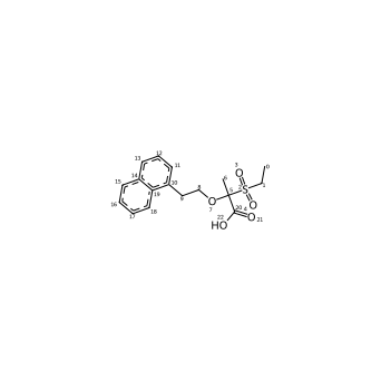 CCS(=O)(=O)C(C)(OCCc1cccc2ccccc12)C(=O)O